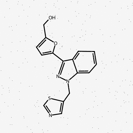 OCc1ccc(-c2nn(Cc3cncs3)c3ccccc23)o1